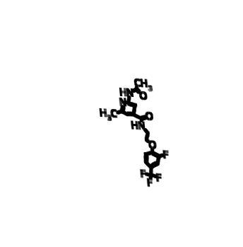 CC(=O)Nc1cc(C(=O)NCCOc2ccc(C(F)(F)F)cc2F)cc(C)n1